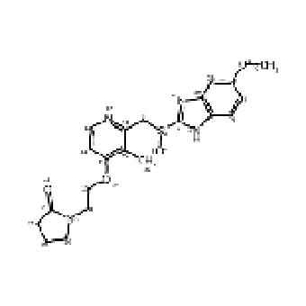 COc1ccc2[nH]c([S+]([O-])Cc3nccc(OCCN4CCCC4=O)c3C)nc2c1